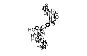 Cc1nc2ncnc(N[C@H]3O[C@@H](C)[C@H](NC(=O)[C@H]4[C@@H](O)CCN4C(=O)OCc4ccc(NC(=O)[C@H](C)NC(=O)[C@@H](NC(=O)CCN5C(=O)C=CC5=O)C(C)C)cc4)[C@@H](O)[C@@H]3O)c2[nH]1